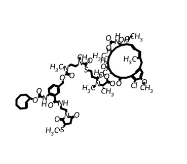 COc1cc2cc(c1Cl)CC(=O)C[C@H](OC(=O)[C@H](C)N(C)C(=O)CCSC(=O)N(C)CCN(C)C(=O)OCc1ccc(NC(=O)OC3/C=C/CCCCC3)c(C(=O)NCCN3C(=O)CC(SC)C3=O)c1)[C@]1(C)O[C@H]1[C@H](C)[C@@H]1C[C@@](O)(NC(=O)O1)[C@H](OC)/C=C/C=C(\C)C2